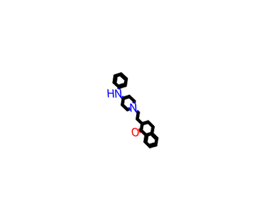 O=C1c2ccccc2CCC1CCN1CCC(Nc2ccccc2)CC1